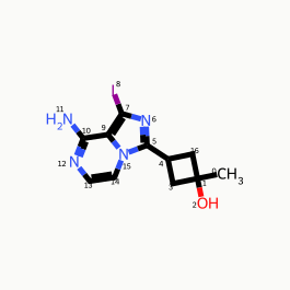 CC1(O)CC(c2nc(I)c3c(N)nccn23)C1